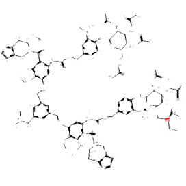 CCOC[C@H]1O[C@@H](Oc2ccc(COC(=O)Nc3cc(OCc4cc(COc5cc(NC(=O)OCc6ccc(O[C@@H]7O[C@H](COC(C)=O)[C@H](OC(C)=O)[C@H](OC(C)=O)[C@@H]7OC(C)=O)c([N+](=O)[O-])c6)c(C(=O)N6Cc7ccsc7C[C@@H]6CO)cc5OC)cc(CN(C)C)c4)c(OC)cc3C(=O)N3Cc4ccsc4C[C@H]3CO)cc2[N+](=O)[O-])[C@@H](OC(C)=O)[C@@H](OC(C)=O)[C@H]1OC(C)=O